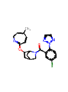 O=C(c1cc(F)ccc1-n1nccn1)N1CC2CC(OC3=NCC=C(C(F)(F)F)C=C3)C1C2